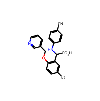 CCc1ccc(OCc2cccnc2)c(C(Nc2ccc(C#N)cc2)C(=O)O)c1